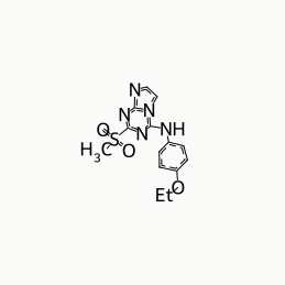 CCOc1ccc(Nc2nc(S(C)(=O)=O)nc3nccn23)cc1